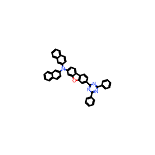 c1ccc(-c2nc(-c3ccccc3)nc(-c3ccc4c(c3)oc3cc(N(c5ccc6ccccc6c5)c5ccc6ccccc6c5)ccc34)n2)cc1